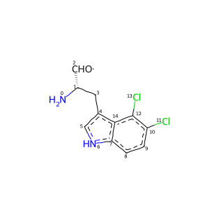 N[C@H]([C]=O)Cc1c[nH]c2ccc(Cl)c(Cl)c12